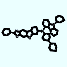 c1ccc(-c2ccc(N(c3ccc4c(c3)oc3cc5oc(-c6ccccc6)nc5cc34)c3cccc4c3c3ccccc3n4-c3ccccc3)cc2)cc1